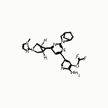 Cn1ccnc1N1C[C@@H]2C(c3cc(-c4cnc(N)c(OC(F)F)c4)nc(N4CC5CCC4C5)n3)[C@@H]2C1